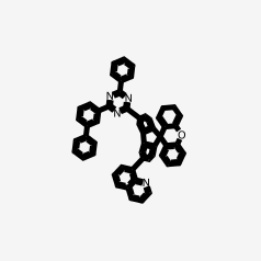 C1=C2Oc3ccccc3C3(C2=CCC1)c1ccc(-c2nc(-c4ccccc4)nc(-c4cccc(-c5ccccc5)c4)n2)cc1-c1cc(-c2cccc4cccnc24)ccc13